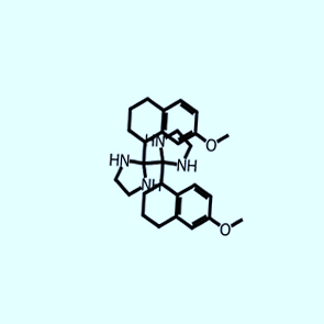 COc1ccc2c(c1)CCCC2C1(C2(C3CCCc4ccc(OC)cc43)NCCN2)NCCN1